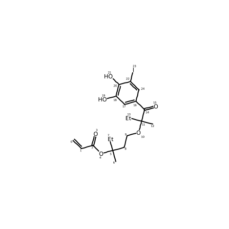 C=CC(=O)OC(C)(CC)CCOC(C)(CC)C(=O)c1cc(O)c(O)c(I)c1